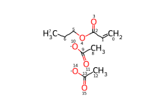 C=CC(=O)OCCC.CC([O])=O.CC([O])=O